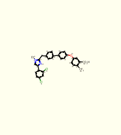 CCn1cc(-c2ccc(Cl)cc2Cl)nc1Cc1ccc(-c2ccc(Oc3ccc(C(F)(F)F)c(C(=O)O)c3)cc2)cc1